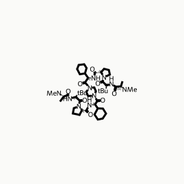 CN[C@@H](C)C(=O)N[C@H](C(=O)N1CCC[C@H]1C(=O)N[C@H](C(=O)N1CCN(C(=O)[C@@H](NC(=O)[C@@H]2CCCN2C(=O)[C@@H](NC(=O)[C@H](C)NC)C(C)(C)C)C2CCCCC2)CC1)C1CCCCC1)C(C)(C)C